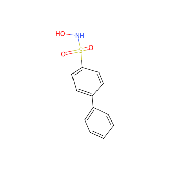 O=S(=O)(NO)c1ccc(-c2ccccc2)cc1